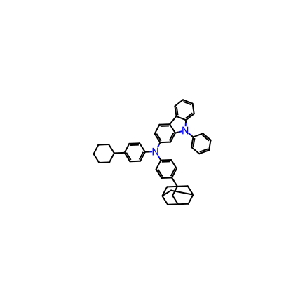 c1ccc(-n2c3ccccc3c3ccc(N(c4ccc(C5CCCCC5)cc4)c4ccc(C56CC7CC(CC(C7)C5)C6)cc4)cc32)cc1